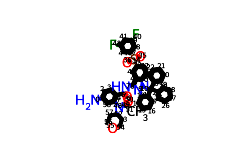 Nc1ccc(C(=O)Nc2nn(C(c3ccccc3)(c3ccccc3)c3ccccc3)c3ccc(S(=O)(=O)c4cc(F)cc(F)c4)cc23)c(N(C(=O)C(F)(F)F)C2CCOCC2)c1